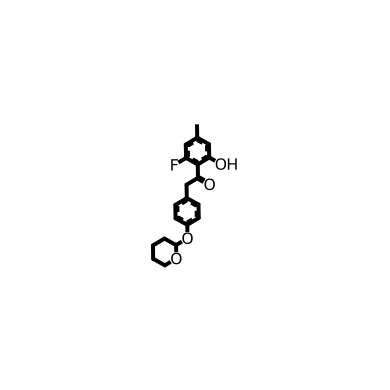 Cc1cc(O)c(C(=O)Cc2ccc(OC3CCCCO3)cc2)c(F)c1